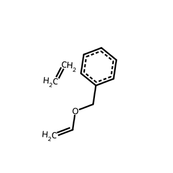 C=C.C=COCc1ccccc1